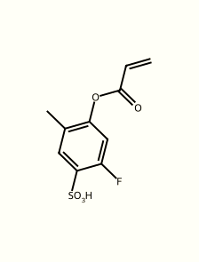 C=CC(=O)Oc1cc(F)c(S(=O)(=O)O)cc1C